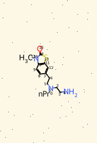 CCCN(CCN)CCc1ccc2c(c1)sc(=O)n2C